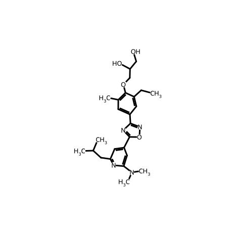 CCc1cc(-c2noc(-c3cc(CC(C)C)nc(N(C)C)c3)n2)cc(C)c1OCC(O)CO